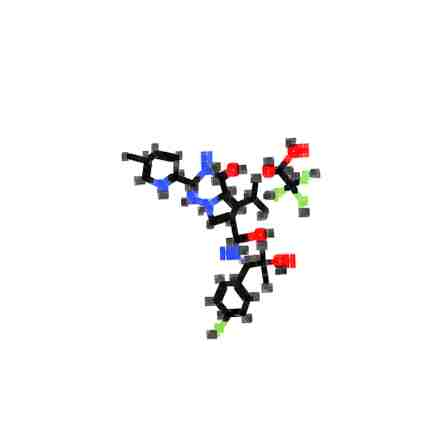 Cc1ccc(-c2nn3cc(C(=O)N[C@@H](c4ccc(F)cc4)C(C)(C)O)c(C(C)C)c3c(=O)[nH]2)nc1.O=C(O)C(F)(F)F